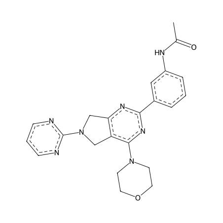 CC(=O)Nc1cccc(-c2nc3c(c(N4CCOCC4)n2)CN(c2ncccn2)C3)c1